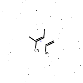 C/C=C(\C)C#N.C=CC(C)C